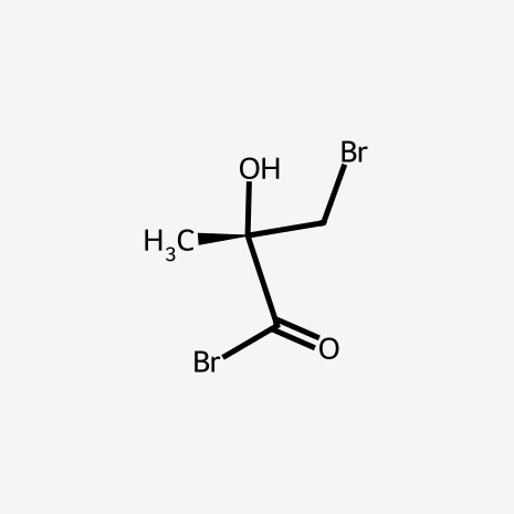 C[C@@](O)(CBr)C(=O)Br